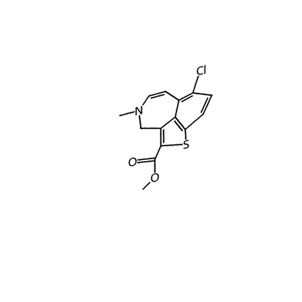 COC(=O)c1sc2ccc(Cl)c3c2c1CN(C)C=C3